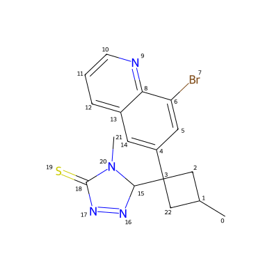 CC1CC(c2cc(Br)c3ncccc3c2)(C2N=NC(=S)N2C)C1